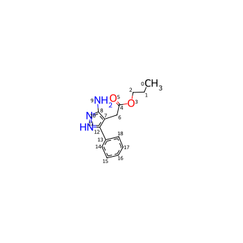 CCCOC(=O)Cc1c(N)n[nH]c1-c1ccccc1